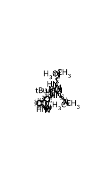 CN(C)CCCNc1nnc(NCCCN(C)C)c2c1nc(CC(C)(C)C)n2Cc1ccc(-c2ccccc2-c2nnn[nH]2)cc1